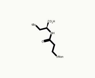 CCCCCCCCCCCC(=O)N[C@@H](CC(C)(C)C)C(=O)O